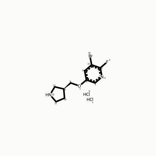 Cl.Cl.Fc1ncc(OC[C@H]2CCNC2)cc1Br